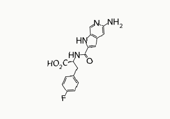 Nc1cc2cc(C(=O)N[C@@H](Cc3ccc(F)cc3)C(=O)O)[nH]c2cn1